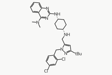 CN(C)c1nc(N[C@H]2CC[C@@H](NCc3cc(C(C)(C)C)nn3Cc3ccc(Cl)cc3Cl)CC2)nc2ccccc12